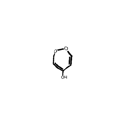 OC1=COOC=C1